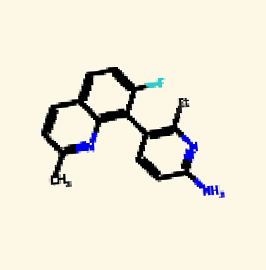 CCc1nc(N)ccc1-c1c(F)ccc2ccc(C)nc12